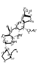 CC(=O)O[C@H](C[C@H](C(C)C)N(C)C(=O)[C@@H](NC(=O)[C@H]1CCCCN1C)C(C)C)c1nc(C(=O)O)cs1